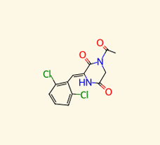 CC(=O)N1CC(=O)N/C(=C\c2c(Cl)cccc2Cl)C1=O